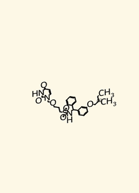 CC[C@H](C)COc1cccc(C(NS(=O)(=O)CCCOCn2ccc(=O)[nH]c2=O)c2ccccc2)c1